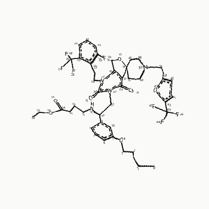 CCCCOc1cccc(C(Cn2c(=O)c3c(n(Cc4c(F)cccc4C(F)(F)F)c2=O)COC32CCN(Cc3ccc(C(F)(F)F)o3)CC2)NCCCC(=O)OCC)c1